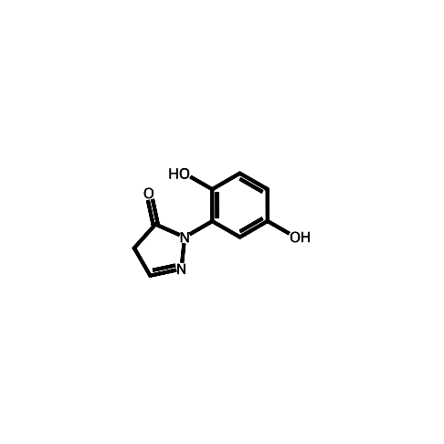 O=C1CC=NN1c1cc(O)ccc1O